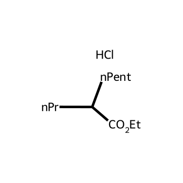 CCCCCC(CCC)C(=O)OCC.Cl